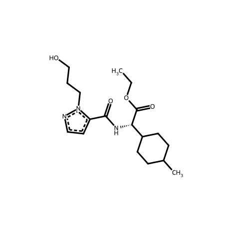 CCOC(=O)[C@@H](NC(=O)c1ccnn1CCCO)C1CCC(C)CC1